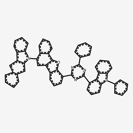 c1ccc(-c2nc(-c3cccc4c3oc3c5ccccc5c(-n5c6ccccc6c6cc7ccccc7cc65)cc43)nc(-c3cccc4c3c3ccccc3n4-c3ccccc3)n2)cc1